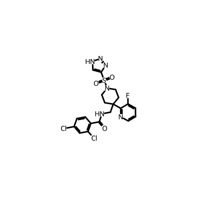 O=C(NCC1(c2ncccc2F)CCN(S(=O)(=O)c2c[nH]nn2)CC1)c1ccc(Cl)cc1Cl